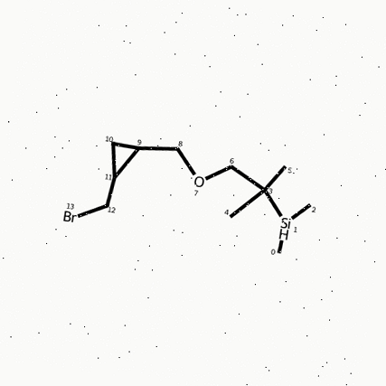 C[SiH](C)C(C)(C)COCC1CC1CBr